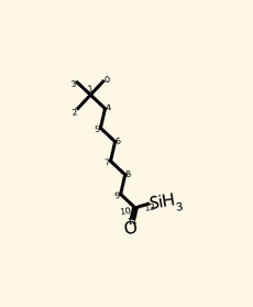 CC(C)(C)CCCCCCC(=O)[SiH3]